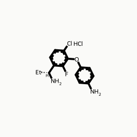 CC[C@@H](N)c1ccc(Cl)c(Oc2ccc(N)cc2)c1F.Cl